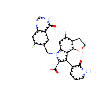 O=C(O)c1c(-c2ccc[nH]c2=O)c2c3c(c(F)cc2n1Cc1cc2c(=O)[nH]cnc2cc1F)CCO3